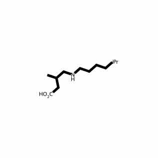 CC(C)CCCCNCC(C)CC(=O)O